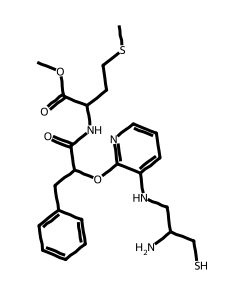 COC(=O)C(CCSC)NC(=O)C(Cc1ccccc1)Oc1ncccc1NCC(N)CS